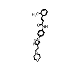 CC1C=CC=CC1/C=C/C(=O)Nc1ccc(-n2cc(CCN3CCOCC3)nn2)cc1